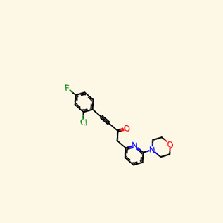 O=C(C#Cc1ccc(F)cc1Cl)Cc1cccc(N2CCOCC2)n1